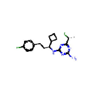 C[C@@H](F)c1nc(N)nc(N[C@@H](CCc2ccc(F)cc2)C2CCC2)n1